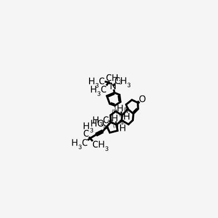 CN(c1ccc([C@H]2C[C@@]3(C)[C@@H](CC[C@@]3(O)C#CC(C)(C)C)[C@@H]3CCC4=CC(=O)CC[C@@H]4[C@H]32)cc1)C(C)(C)C